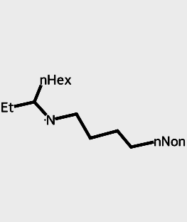 CCCCCCCCCCCCC[N]C(CC)CCCCCC